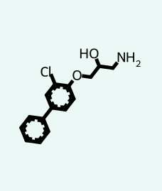 NCC(O)COc1ccc(-c2ccccc2)cc1Cl